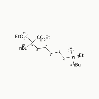 CCCCC(CC)(CC)CCCCCC(CCCC)(C(=O)OCC)C(=O)OCC